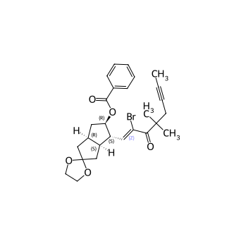 CC#CCC(C)(C)C(=O)/C(Br)=C/[C@@H]1[C@H]2CC3(C[C@H]2C[C@H]1OC(=O)c1ccccc1)OCCO3